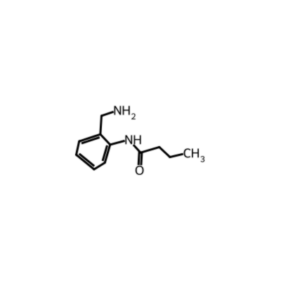 CCCC(=O)Nc1ccccc1CN